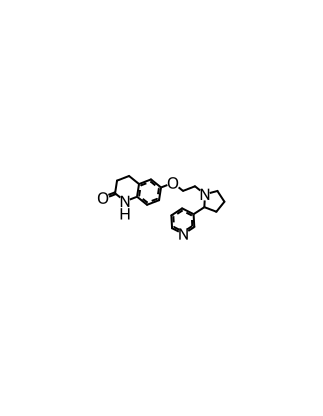 O=C1CCc2cc(OCCN3CCCC3c3cccnc3)ccc2N1